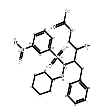 O=C(O)NCC(O)C(Cc1ccccc1)N(OC1CCCCC1)S(=O)(=O)c1cccc([N+](=O)[O-])c1